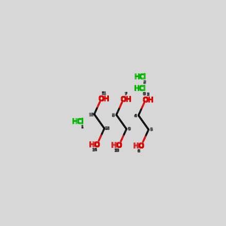 Cl.Cl.Cl.OCCO.OCCO.OCCO